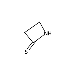 S=C1CCN1